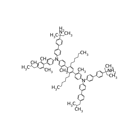 CCCCCCc1cc(-c2ccc(N(c3ccc(-c4ccc(C(C)(N)CC)cc4)cc3)c3ccc(-c4c(C)cc(CC(C)C)cc4C)cc3)cc2C)c(CCCCCC)cc1-c1ccc(N(c2ccc(-c3ccc(CC(C)C)cc3)cc2)c2ccc(-c3ccc(C(N)(CC)CC)cc3)cc2)cc1C